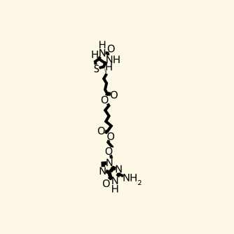 Nc1nc2c(ncn2COCCOC(=O)CCCCCOC(=O)CCCC[C@@H]2SC[C@@H]3NC(=O)N[C@@H]32)c(=O)[nH]1